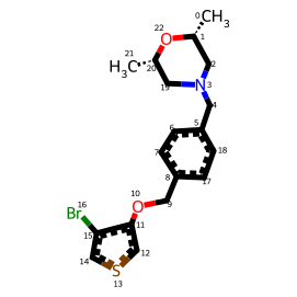 C[C@@H]1CN(Cc2ccc(COc3cscc3Br)cc2)C[C@H](C)O1